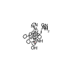 NC(=O)NCC#Cc1ccc2c(c1)[C@]1(C(=O)N2)[C@H](C(=O)N2CCN(c3ncccn3)CC2)[C@H]2C(=O)O[C@H](c3ccccc3)[C@H](c3ccccc3)N2[C@@H]1c1ccc(O)cc1